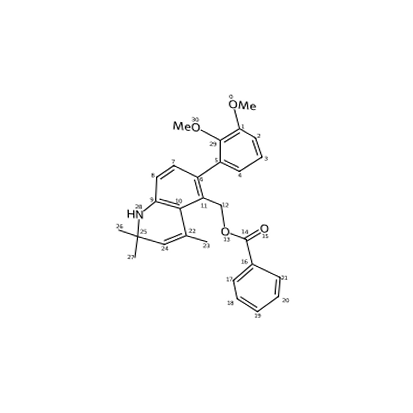 COc1cccc(-c2ccc3c(c2COC(=O)c2ccccc2)C(C)=CC(C)(C)N3)c1OC